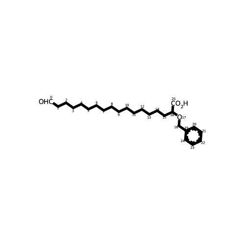 O=CCCCCCCCCCCCCCCCC(OCc1ccccc1)C(=O)O